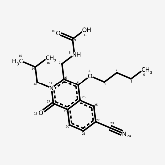 CCCCOc1c(CNC(=O)O)n(CC(C)C)c(=O)c2ccc(C#N)cc12